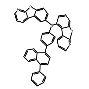 c1ccc(-c2ccc(-c3ccc(N(c4ccc5oc6ncccc6c5c4)c4cccc5oc6ncccc6c45)cc3)c3ccccc23)cc1